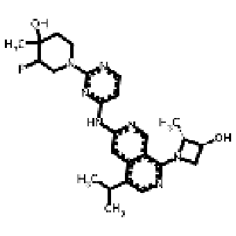 CC(C)c1cnc(N2C[C@H](O)[C@H]2C)c2cnc(Nc3ccnc(N4CCC(C)(O)C(F)C4)n3)cc12